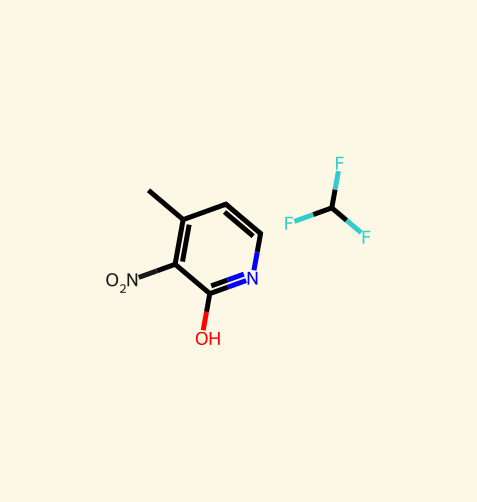 Cc1ccnc(O)c1[N+](=O)[O-].FC(F)F